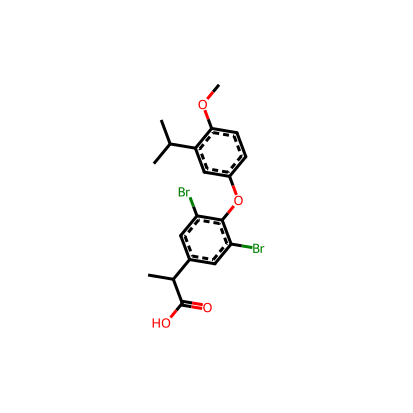 COc1ccc(Oc2c(Br)cc(C(C)C(=O)O)cc2Br)cc1C(C)C